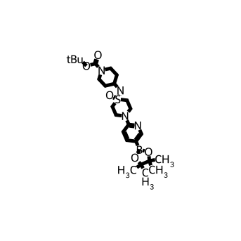 CC(C)(C)OC(=O)N1CCC(N=S2(=O)CCN(c3ccc(B4OC(C)(C)C(C)(C)O4)cn3)CC2)CC1